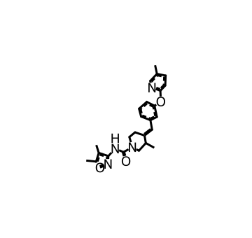 Cc1ccc(Oc2cccc(/C=C3\CCN(C(=O)Nc4noc(C)c4C)CC3C)c2)nc1